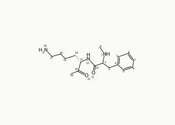 CNC(Cc1ccccc1)C(=O)N[C@@H](CCCCN)C(C)=O